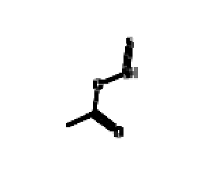 CC(=O)O[SH]=S